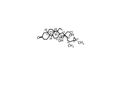 C[C@H](C[C@@H](O)[C@](O)(CCl)[C@H]1CC[C@H]2[C@@H]3CC[C@H]4CC(=O)CC[C@]4(C)[C@H]3C[C@@H](O)[C@]12C)[C@H]1C[C@@H]1C